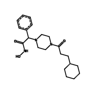 O=C(NO)C(c1ccccc1)N1CCN(C(=O)CCC2CCCCC2)CC1